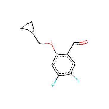 O=Cc1cc(F)c(F)cc1OCC1CC1